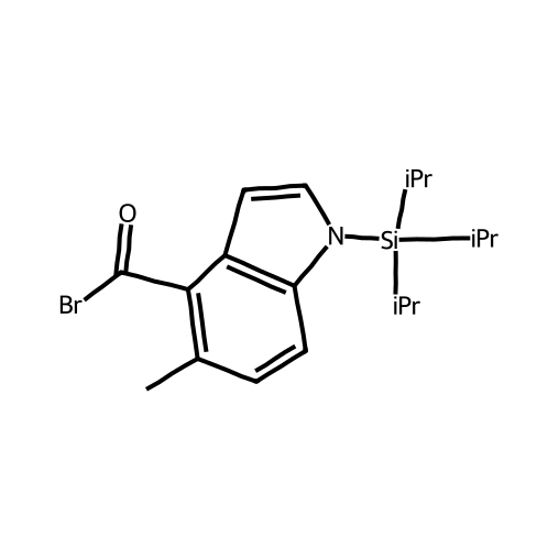 Cc1ccc2c(ccn2[Si](C(C)C)(C(C)C)C(C)C)c1C(=O)Br